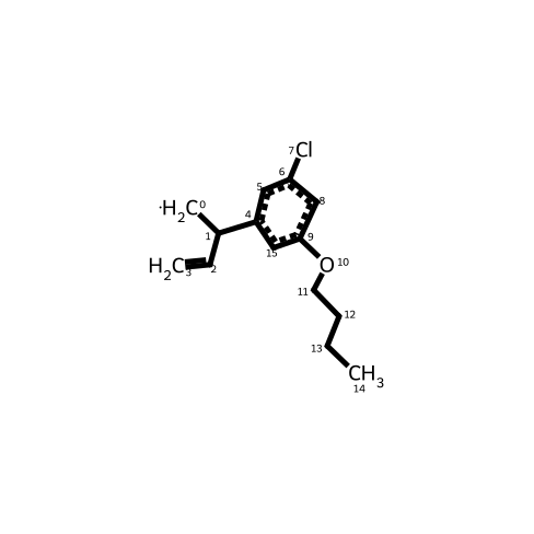 [CH2]C(C=C)c1cc(Cl)cc(OCCCC)c1